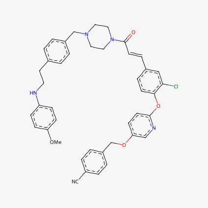 COc1ccc(NCCc2ccc(CN3CCN(C(=O)C=Cc4ccc(Oc5ccc(OCc6ccc(C#N)cc6)cn5)c(Cl)c4)CC3)cc2)cc1